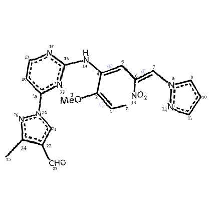 C\C=C(OC)/C(=C\C(=C\n1cccn1)[N+](=O)[O-])Nc1nccc(-n2cc(C=O)c(C)n2)n1